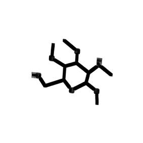 CNC1C(OC)OC(CO)C(OC)C1OC